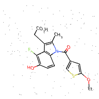 CCOc1cc(C(=O)n2c(C)c(CC(=O)O)c3c(F)c(O)ccc32)cs1